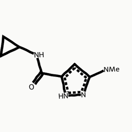 CNc1cc(C(=O)NC2CC2)[nH]n1